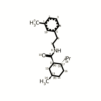 Cc1cccc(CCNC(=O)[C@@H]2C[C@H](C)CC[C@H]2C(C)C)c1